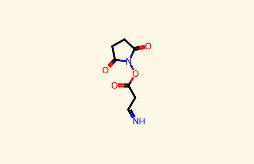 N=CCC(=O)ON1C(=O)CCC1=O